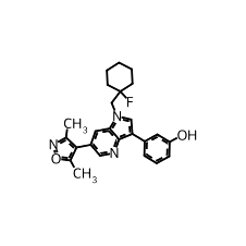 Cc1noc(C)c1-c1cnc2c(-c3cccc(O)c3)cn(CC3(F)CCCCC3)c2c1